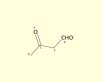 CC(=O)C[C]=O